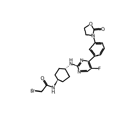 O=C(CBr)N[C@H]1CC[C@H](Nc2ncc(F)c(-c3cccc(N4CCOC4=O)c3)n2)CC1